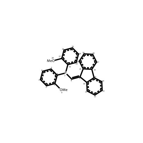 COc1ccccc1P(C=C1c2ccccc2-c2ccccc21)c1ccccc1OC